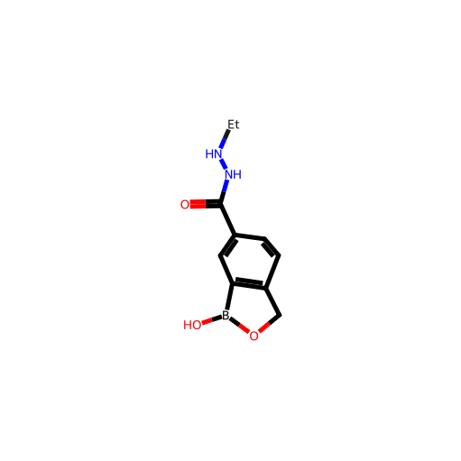 CCNNC(=O)c1ccc2c(c1)B(O)OC2